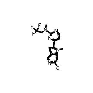 CN(CC(F)(F)F)c1nccc(-c2cc3cnc(Cl)cc3n2C)n1